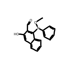 CON(c1ccccc1)c1c(C=O)c(O)cc2ccccc12